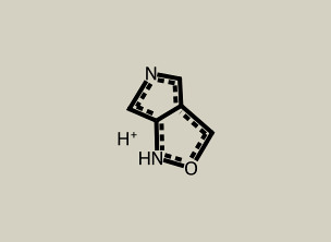 [H+].c1ncc2[nH]occ1-2